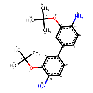 CC(C)(C)Oc1cc(-c2ccc(N)c(OC(C)(C)C)c2)ccc1N